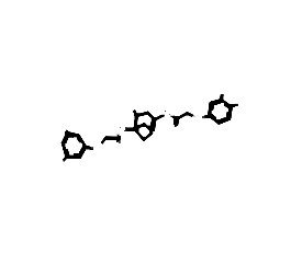 CCc1cc(C)cc(OCC(=O)NC23CC(=C(NC(=O)COc4ccc(Cl)c(F)c4)C[C@@H]2O)C3)c1